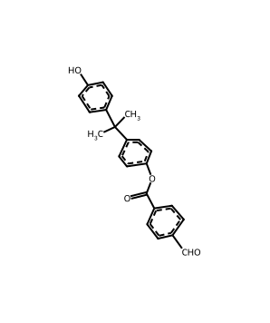 CC(C)(c1ccc(O)cc1)c1ccc(OC(=O)c2ccc(C=O)cc2)cc1